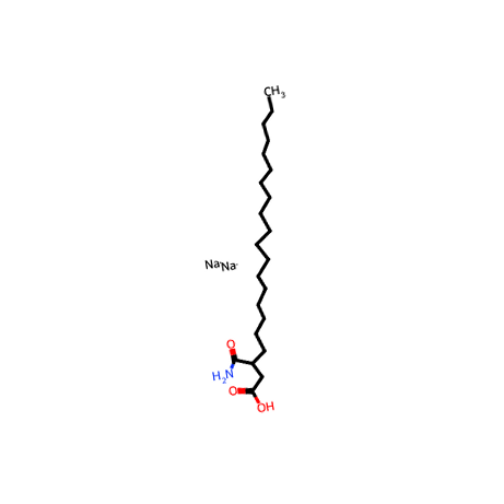 CCCCCCCCCCCCCCCCCCC(CC(=O)O)C(N)=O.[Na].[Na]